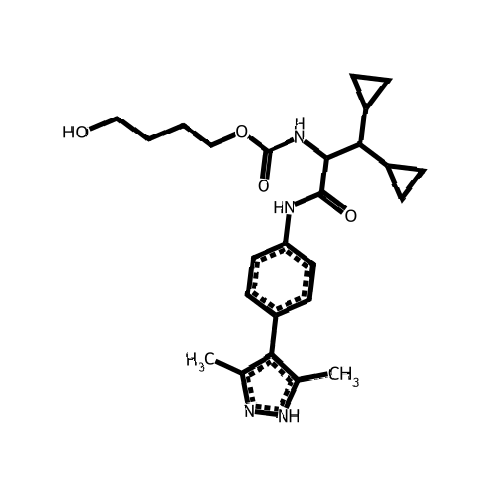 Cc1n[nH]c(C)c1-c1ccc(NC(=O)C(NC(=O)OCCCCO)C(C2CC2)C2CC2)cc1